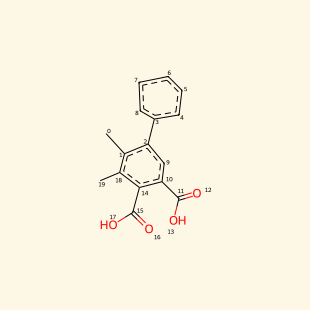 Cc1c(-c2ccccc2)cc(C(=O)O)c(C(=O)O)c1C